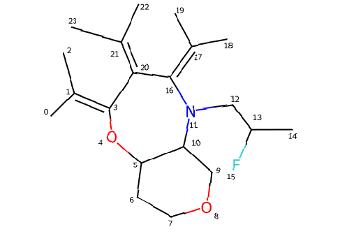 CC(C)=C1OC2CCOCC2N(CC(C)F)C(=C(C)C)C1=C(C)C